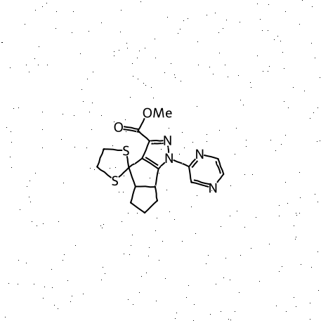 COC(=O)c1nn(-c2cnccn2)c2c1C1(SCCS1)C1CCCC21